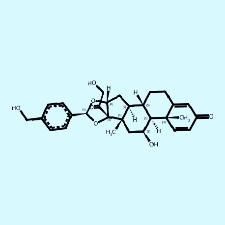 C[C@]12C=CC(=O)C=C1CC[C@@H]1[C@@H]2[C@@H](O)C[C@@]2(C)[C@H]1C[C@H]1O[C@H](c3ccc(CO)cc3)O[C@]12C(=O)CO